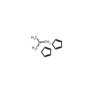 C1=CCC=C1.C1=CCC=C1.CN(C)C